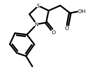 Cc1cccc(N2CSC(CC(=O)O)C2=O)c1